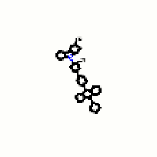 N#Cc1ccc2c(c1)c1ccccc1n2-c1ccc(-c2ccc(-c3c4ccccc4c(-c4ccccc4)c4ccccc34)cc2)cc1C#N